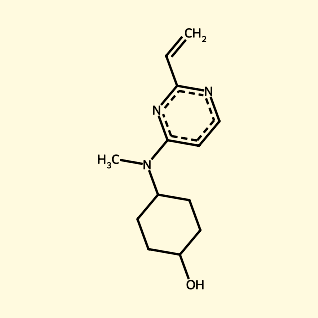 C=Cc1nccc(N(C)C2CCC(O)CC2)n1